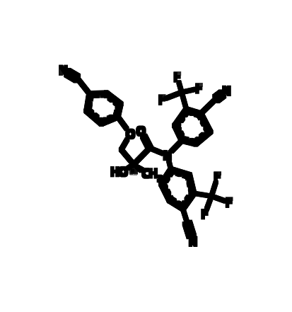 C[C@@](O)(COc1ccc(C#N)cc1)C(=O)N(c1ccc(C#N)c(C(F)(F)F)c1)c1ccc(C#N)c(C(F)(F)F)c1